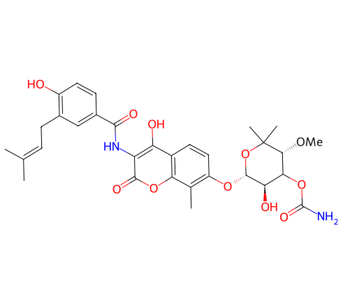 CO[C@@H]1C(OC(N)=O)[C@@H](O)[C@H](Oc2ccc3c(O)c(NC(=O)c4ccc(O)c(CC=C(C)C)c4)c(=O)oc3c2C)OC1(C)C